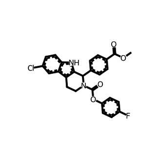 COC(=O)c1ccc(C2c3[nH]c4ccc(Cl)cc4c3CCN2C(=O)Oc2ccc(F)cc2)cc1